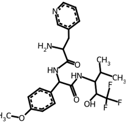 COc1ccc(C(NC(=O)C(N)Cc2cccnc2)C(=O)NC(C(C)C)C(O)C(F)(F)F)cc1